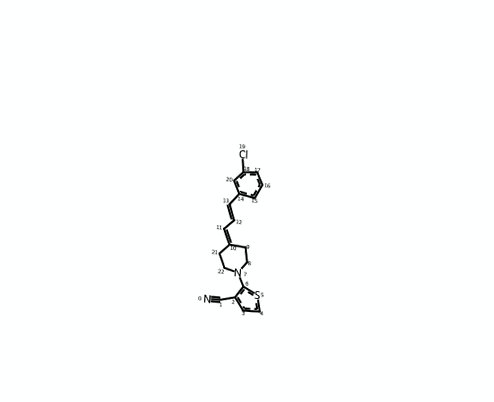 N#Cc1ccsc1N1CCC(=C/C=C/c2cccc(Cl)c2)CC1